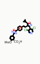 COc1ccc(-c2noc(C34CCC(/C=C/c5c(-c6c(Cl)cncc6Cl)noc5C5CC5)(CC3)OC4)n2)cc1C(=O)O